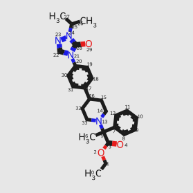 CCOC(=O)C(C)(c1ccccc1)N1CCC(c2ccc(-n3cnn(C(C)C)c3=O)cc2)CC1